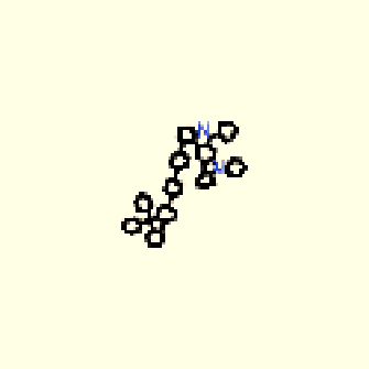 c1ccc(-c2nc3cccc(-c4ccc(-c5ccc(-c6ccc7c(c6)C(c6ccccc6)(c6ccccc6)c6ccccc6-7)cc5)cc4)c3c3cc4c5ccccc5n(-c5ccccc5)c4cc23)cc1